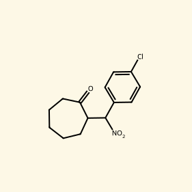 O=C1CCCCCC1C(c1ccc(Cl)cc1)[N+](=O)[O-]